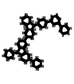 c1ccc(-c2cccc(-c3ccc(-n4c5ccccc5c5cc(-c6ccc7c(c6)c6cc(-c8ccccc8)ccc6n7-c6ccccc6)ccc54)cc3)c2)cc1